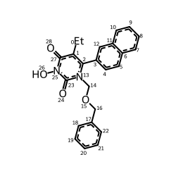 CCc1c(-c2ccc3ccccc3c2)n(COCc2ccccc2)c(=O)n(O)c1=O